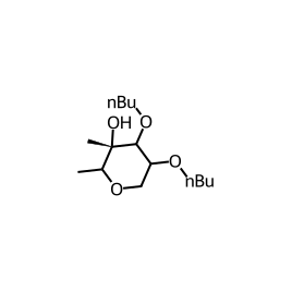 CCCCOC1COC(C)[C@](C)(O)C1OCCCC